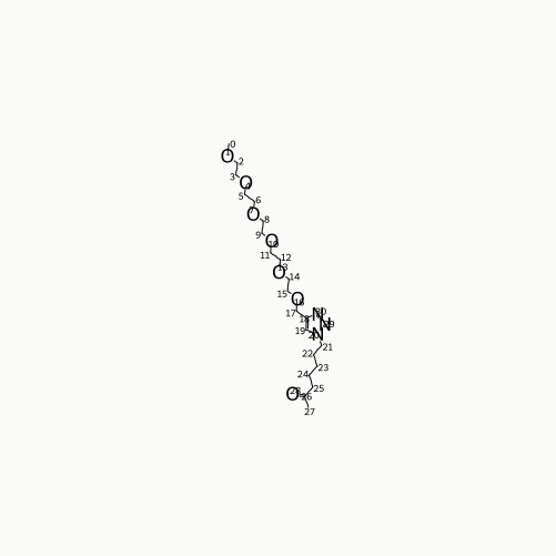 COCCOCCOCCOCCOCCOCc1cn(CCCCCC(C)=O)nn1